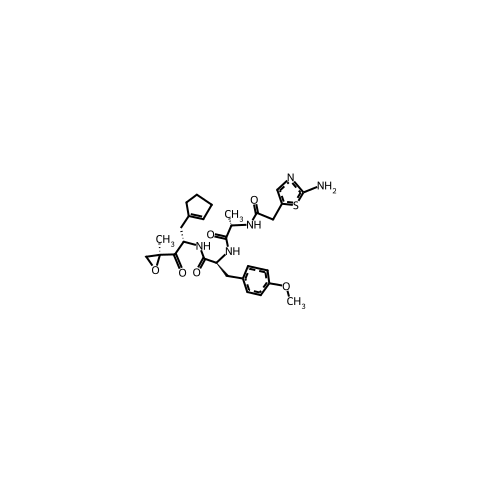 COc1ccc(C[C@H](NC(=O)[C@H](C)NC(=O)Cc2cnc(N)s2)C(=O)N[C@@H](CC2=CCCC2)C(=O)[C@]2(C)CO2)cc1